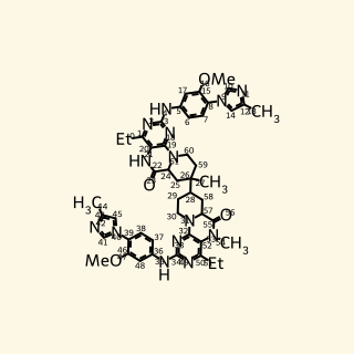 CCc1nc(Nc2ccc(-n3cnc(C)c3)c(OC)c2)nc2c1NC(=O)C1CC(C)(C3CCN4c5nc(Nc6ccc(-n7cnc(C)c7)c(OC)c6)nc(CC)c5N(C)C(=O)C4C3)CCN21